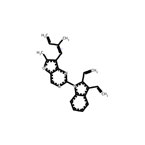 C=C/C(C)=C\c1c(C)oc2cnc(-n3c(C=C)c(C=C)c4ccccc43)nc12